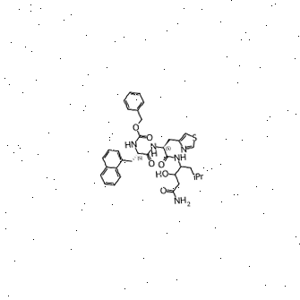 CC(C)CC(NC(=O)[C@H](Cc1cscn1)NC(=O)[C@H](Cc1cccc2ccccc12)NC(=O)OCc1ccccc1)C(O)CC(N)=O